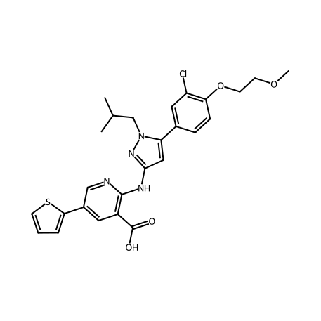 COCCOc1ccc(-c2cc(Nc3ncc(-c4cccs4)cc3C(=O)O)nn2CC(C)C)cc1Cl